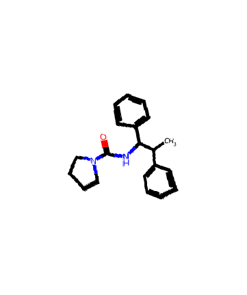 CC(c1ccccc1)C(NC(=O)N1CCCC1)c1ccccc1